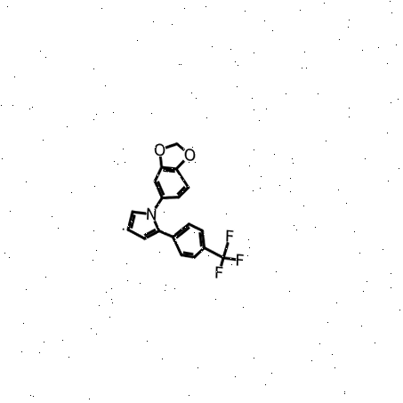 FC(F)(F)c1ccc(-c2c[c]cn2-c2ccc3c(c2)OCO3)cc1